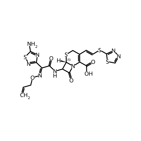 C=CCON=C(C(=O)NC1C(=O)N2C(C(=O)O)=C(C=CSc3nncs3)CS[C@@H]12)c1nsc(N)n1